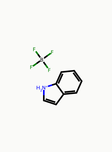 C1=Cc2ccccc2[NH2+]1.F[B-](F)(F)F